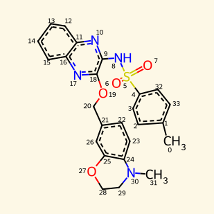 Cc1ccc(S(=O)(=O)Nc2nc3ccccc3nc2OCc2ccc3c(c2)OCCN3C)cc1